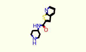 O=C(NC1CCNCC1)c1cc2cccnc2s1